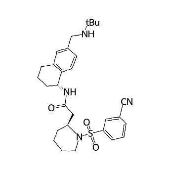 CC(C)(C)NCc1ccc2c(c1)CCC[C@H]2NC(=O)C[C@@H]1CCCCN1S(=O)(=O)c1cccc(C#N)c1